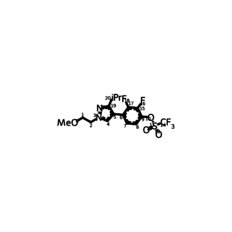 COCCn1cc(-c2ccc(OS(=O)(=O)C(F)(F)F)c(F)c2F)c(C(C)C)n1